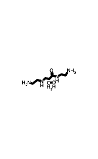 CO.NCCNCCC(=O)NCCN